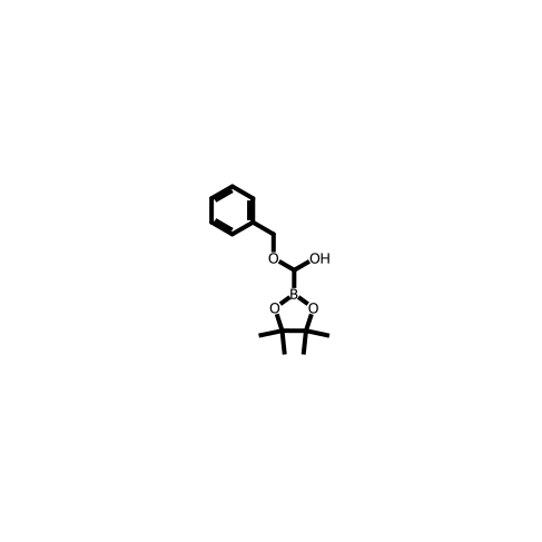 CC1(C)OB(C(O)OCc2ccccc2)OC1(C)C